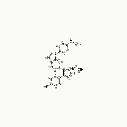 COc1ccc(-c2cnc3ccc(-c4c[nH]nc4-c4ccc(F)cc4)cn23)cc1.Cl.Cl